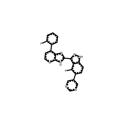 Fc1ccccc1-c1ccnc2[nH]c(-c3n[nH]c4ccc(-c5cncnc5)c(F)c34)nc12